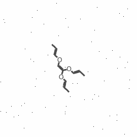 CC=COC=C(OC=CC)OC=CC